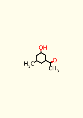 CC(=O)C1CC(C)CC(O)C1